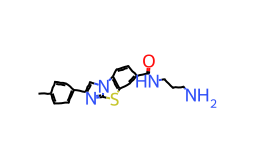 Cc1ccc(-c2cn3c(n2)sc2cc(C(=O)NCCCN)ccc23)cc1